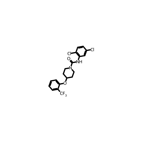 O=C(Nc1cc(Cl)ccc1Cl)N1CCC(Oc2ccccc2C(F)(F)F)CC1